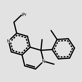 Cc1ccccc1C1(C)c2cc(CC(C)C)ncc2C=CN1C